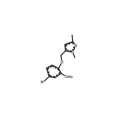 COc1cc(Br)ccc1OCc1cc(C)nn1C